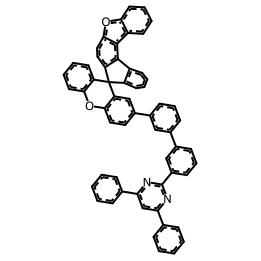 c1ccc(-c2cc(-c3ccccc3)nc(-c3cccc(-c4cccc(-c5ccc6c(c5)C5(c7ccccc7O6)c6ccccc6-c6c5ccc5oc7ccccc7c65)c4)c3)n2)cc1